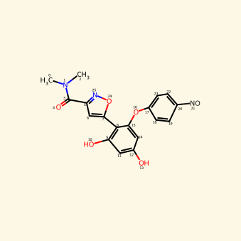 CN(C)C(=O)c1cc(-c2c(O)cc(O)cc2Oc2ccc(N=O)cc2)on1